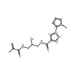 C=C(C)C(=O)NCC(O)CNC(=O)c1nnn(-c2cccn2C)n1